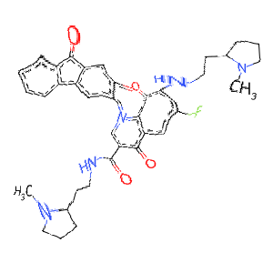 CN1CCCC1CCNC(=O)c1cn2c3cc4c(cc3oc3c(NCCC5CCCN5C)c(F)cc(c1=O)c32)c(=O)c1ccccc14